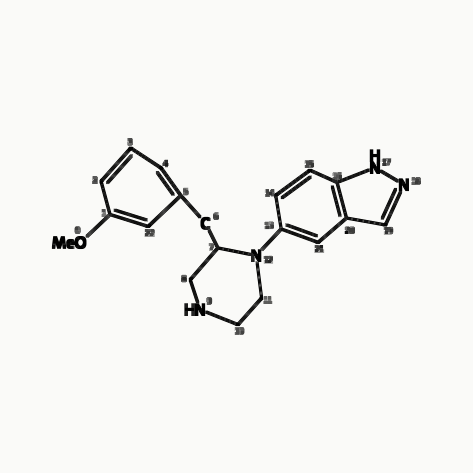 COc1cccc(CC2CNCCN2c2ccc3[nH]ncc3c2)c1